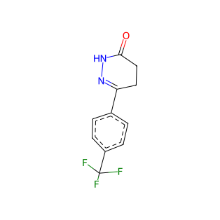 O=C1CCC(c2ccc(C(F)(F)F)cc2)=NN1